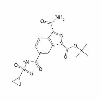 CC(C)(C)OC(=O)n1nc(C(N)=O)c2ccc(C(=O)NS(=O)(=O)C3CC3)cc21